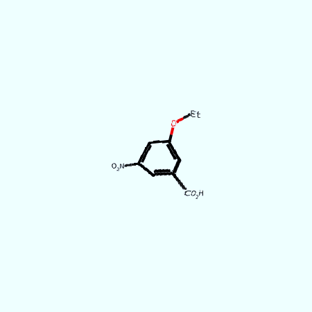 CCOc1cc(C(=O)O)cc([N+](=O)[O-])c1